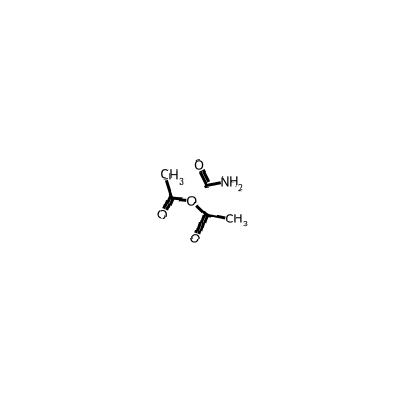 CC(=O)OC(C)=O.NC=O